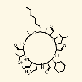 CCCCCC[C@H]1O[C@@H](C)CNC(C=O)[C@@H]([C@H](C)O)NC(C=O)[C@H](CN)NC(C=O)[C@H](C2CCCCC2)NC(C=O)[C@H](CC(C)C)N(C)C(C=O)[C@H]1C